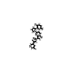 Cc1cncc(-c2cnn(-c3cnn4ccc(N5CCC[C@@H]5c5nc(F)ccc5F)nc34)c2)c1